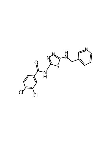 O=C(Nc1nnc(NCc2cccnc2)s1)c1ccc(Cl)c(Cl)c1